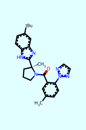 Cc1ccc(-n2nccn2)c(C(=O)N2CCC[C@@]2(C)c2nc3cc(C(C)(C)C)ccc3[nH]2)c1